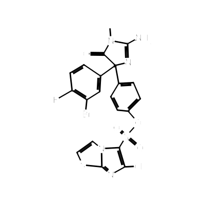 CN1C(=O)C(c2ccc(OS(=O)(=O)c3c(Cl)nc4sccn34)cc2)(c2ccc(F)c(Br)c2)N=C1N